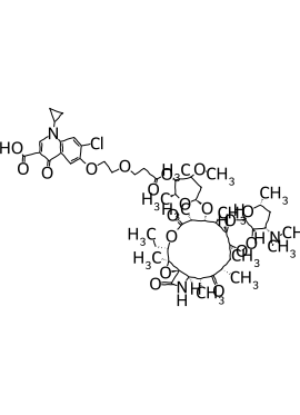 CC[C@@H]1OC(=O)[C@H](C)[C@H](O[C@@H]2C[C@@](C)(OC)[C@H](OC(=O)CCOCCOc3cc4c(=O)c(C(=O)O)cn(C5CC5)c4cc3Cl)[C@H](C)O2)[C@@H](C)[C@@H]2O[C@@H]3O[C@H](C)C[C@H](N(C)C)[C@@H]3OO[C@@]2(C)C[C@H](C)C(=O)[C@H](C)[C@H]2NC(=O)[C@@]23O[C@@]13C